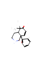 CCN1CC[C@H]2C(C)(C)C(=O)C=CC2(c2ccccc2)C1=O